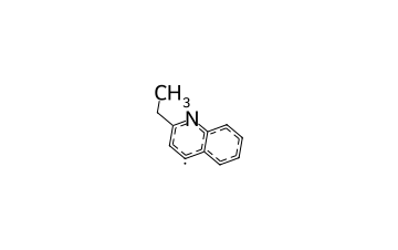 CCc1c[c]c2ccccc2n1